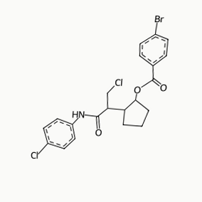 O=C(OC1CCCC1C(CCl)C(=O)Nc1ccc(Cl)cc1)c1ccc(Br)cc1